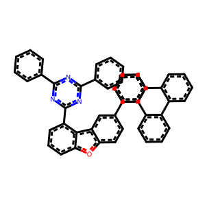 c1ccc(-c2nc(-c3ccccc3)nc(-c3cccc4oc5ccc(-c6cccc(-c7ccccc7-c7ccccc7-c7ccccc7)c6)cc5c34)n2)cc1